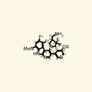 CNc1cc(F)c(F)c2c1[nH]c1ncc(-c3cncc(C#N)c3)c(N3CC(CN)C(F)(F)C3)c12